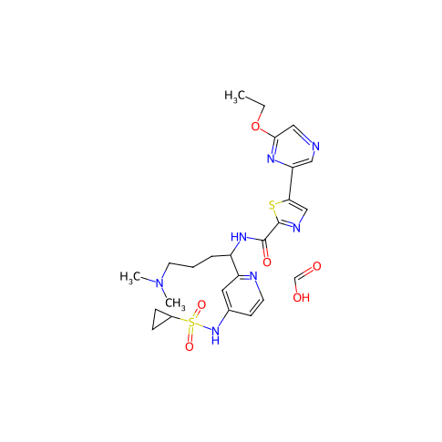 CCOc1cncc(-c2cnc(C(=O)NC(CCCN(C)C)c3cc(NS(=O)(=O)C4CC4)ccn3)s2)n1.O=CO